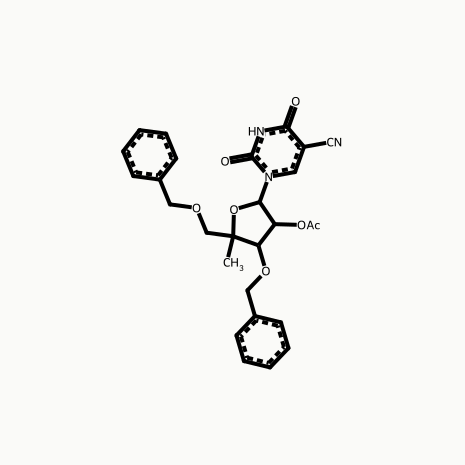 CC(=O)OC1C(n2cc(C#N)c(=O)[nH]c2=O)OC(C)(COCc2ccccc2)C1OCc1ccccc1